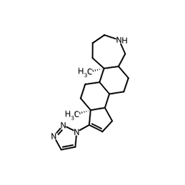 C[C@]12CCCNCC1CCC1C2CC[C@]2(C)C(n3ccnn3)=CCC12